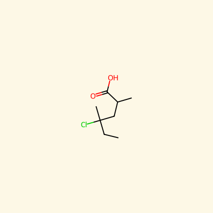 CCC(C)(Cl)CC(C)C(=O)O